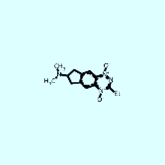 CCc1n[n+]([O-])c2cc3c(cc2[n+]1[O-])CC(N(C)C)C3